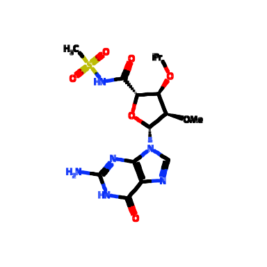 CO[C@@H]1[C@H](OC(C)C)[C@@H](C(=O)NS(C)(=O)=O)O[C@H]1n1cnc2c(=O)[nH]c(N)nc21